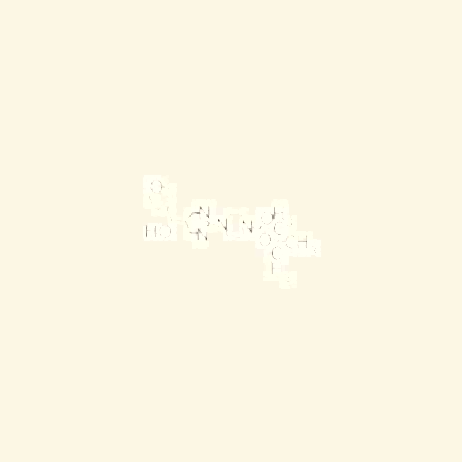 CC(C)(C)OC(=O)N1CCN(c2ncc(C(O)C3CCOCC3)cn2)CC1